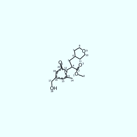 COC(=O)C(CC1CCOCC1)n1c(C)cc(CO)cc1=O